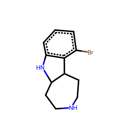 Brc1cccc2c1C1CCNCCC1N2